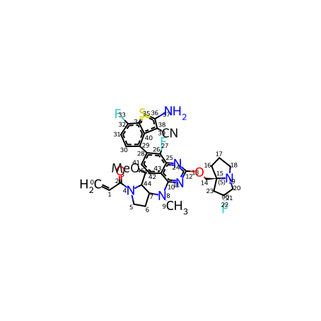 C=CC(=O)N1CCC(N(C)c2nc(OC[C@@]34CCCN3C[C@H](F)C4)nc3c(F)c(-c4ccc(F)c5sc(N)c(C#N)c45)ccc23)C1COC